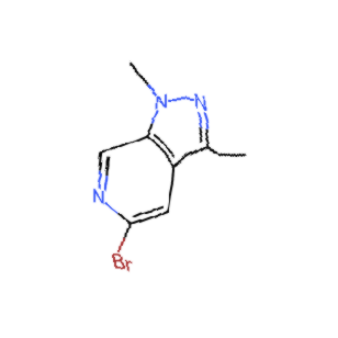 Cc1nn(C)c2cnc(Br)cc12